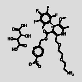 COC1=C(C)NC(COCCOCCN)=C(C(=O)OCc2ccc([N+](=O)[O-])cc2)[C@@H]1c1c(F)c(F)c(F)c(F)c1F.O=C(O)C(O)C(O)C(=O)O